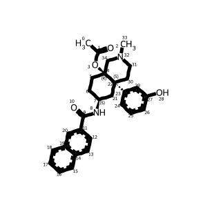 CC(=O)O[C@]12CC[C@H](NC(=O)c3ccc4ccccc4c3)C[C@]1(c1cccc(O)c1)CCN(C)C2